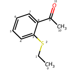 CCSc1ccccc1C(C)=O